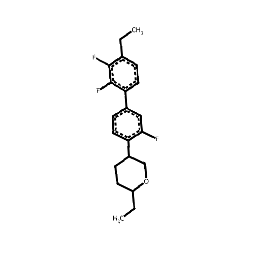 CCc1ccc(-c2ccc(C3CCC(CC)OC3)c(F)c2)c(F)c1F